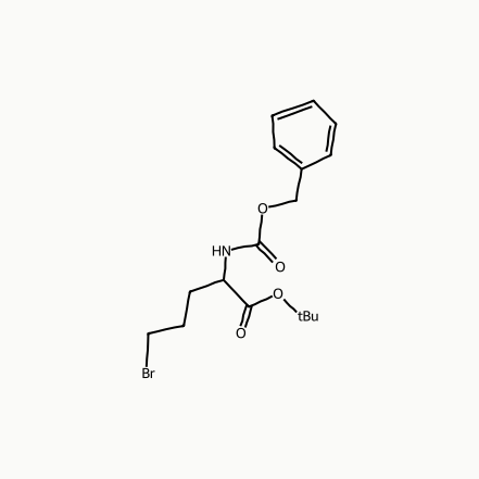 CC(C)(C)OC(=O)C(CCCBr)NC(=O)OCc1ccccc1